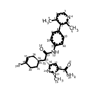 Cc1ccnc(C)c1-c1ccc(NC(=O)[C@H](c2cc(C(N)=O)n(C)n2)[C@@H]2CC=C(F)CC2)cc1